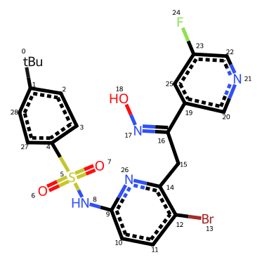 CC(C)(C)c1ccc(S(=O)(=O)Nc2ccc(Br)c(C/C(=N/O)c3cncc(F)c3)n2)cc1